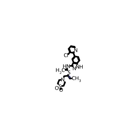 C=C(Nc1n[nH]c2ccc(-c3ncccc3Cl)cc12)S/C(=C\C)CN1CCS(=O)(=O)CC1